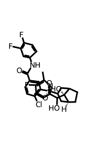 Cc1nc(C(O)[C@@]2(O)C3CC[C@H]2CC(S(=O)(=O)c2cc(C(=O)Nc4ccc(F)c(F)c4)ccc2Cl)C3)ccc1F